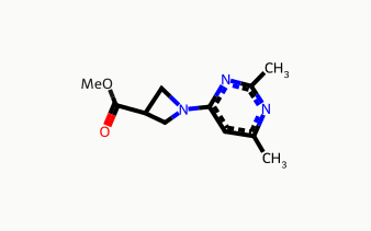 COC(=O)C1CN(c2cc(C)nc(C)n2)C1